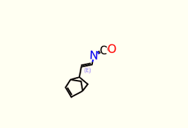 O=C=N/C=C/C1CC2C=CC1C2